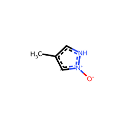 Cc1[c][n+]([O-])[nH]c1